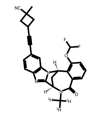 [2H]C([2H])([2H])N1C(=O)c2cccc(OC(F)F)c2[C@H]2C[C@@H]1c1nc3ccc(C#CC4CC(C)(C#N)C4)cc3n12